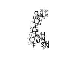 C[C@@H](C(=O)Nc1nncs1)[C@H](c1cccc(F)c1)c1ccc(-c2ccc(C(=O)N3CCCC3)cc2)s1